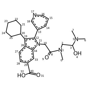 CN(CC(O)N(C)C)C(=O)Cn1c(-c2cccnc2)c(C2CCCCC2)c2ccc(C(=O)O)cc21